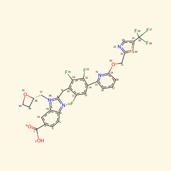 O=C(O)c1ccc2nc(Cc3c(F)cc(-c4cccc(OCc5ncc(C(F)(F)F)s5)n4)c(F)c3F)n(C[C@@H]3CCO3)c2c1